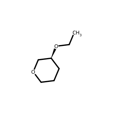 CCO[C@H]1CCCOC1